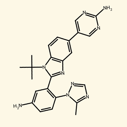 Cc1ncnn1-c1ccc(N)cc1-c1nc2cc(-c3cnc(N)nc3)ccc2n1C(C)(C)C